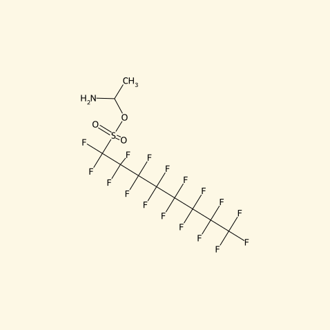 CC(N)OS(=O)(=O)C(F)(F)C(F)(F)C(F)(F)C(F)(F)C(F)(F)C(F)(F)C(F)(F)C(F)(F)F